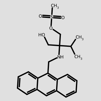 CC(C)C(CO)(COS(C)(=O)=O)NCc1c2ccccc2cc2ccccc12